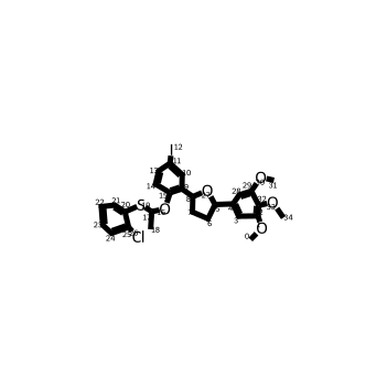 COc1cc(C2CCC(c3cc(I)ccc3OC(C)Sc3ccccc3Cl)O2)cc(OC)c1OC